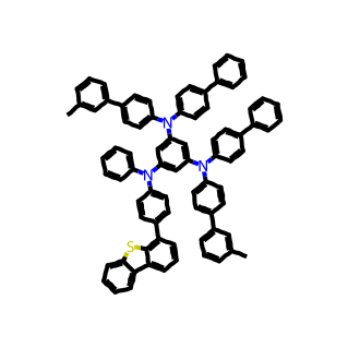 Cc1cccc(-c2ccc(N(c3ccc(-c4ccccc4)cc3)c3cc(N(c4ccc(-c5ccccc5)cc4)c4ccc(-c5cccc(C)c5)cc4)cc(N(c4ccccc4)c4ccc(-c5cccc6c5sc5ccccc56)cc4)c3)cc2)c1